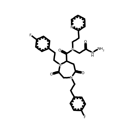 NNC(=O)CN(CCc1ccccn1)C(=O)C1CC(=O)N(CCc2ccc(F)cc2)CC(=O)N1CCc1ccc(F)cc1